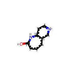 O=c1cccc2cnccc2n1